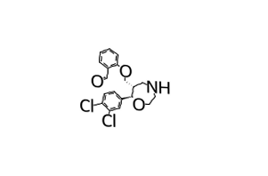 O=Cc1ccccc1OC[C@@H]1CNCCO[C@H]1c1ccc(Cl)c(Cl)c1